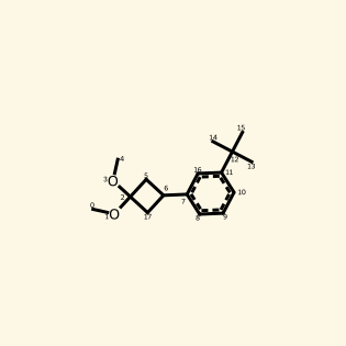 COC1(OC)CC(c2cccc(C(C)(C)C)c2)C1